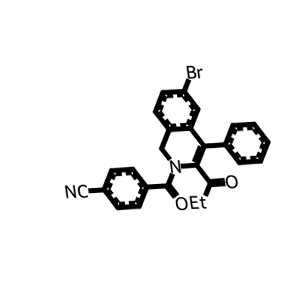 CCC(=O)C1=C(c2ccccc2)c2cc(Br)ccc2CN1C(=O)c1ccc(C#N)cc1